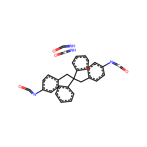 N=C=O.N=C=O.O=C=Nc1ccc(CC(Cc2ccc(N=C=O)cc2)(c2ccccc2)c2ccccc2)cc1